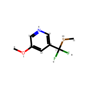 COc1cncc(C(F)(F)SC)c1